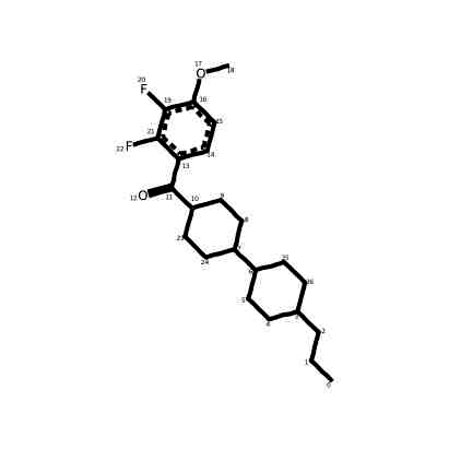 CCCC1CCC(C2CCC(C(=O)c3ccc(OC)c(F)c3F)CC2)CC1